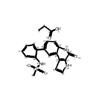 CCC(=O)O.CS(=O)(=O)Nc1ccccc1-c1ccc2[nH]c(=O)c3[nH]ccc3c2c1